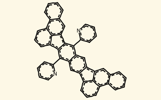 c1ccc(-c2c3cc4c(cc3c(-c3ccccn3)c3c5cc6ccccc6c6cccc(c23)c65)c2cc3ccccc3c3cccc4c32)nc1